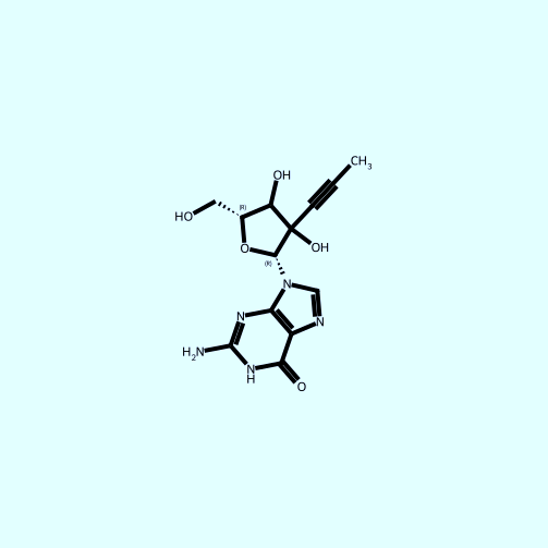 CC#CC1(O)C(O)[C@@H](CO)O[C@H]1n1cnc2c(=O)[nH]c(N)nc21